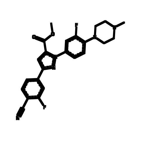 COC(=O)c1cc(-c2ccc(C#N)c(F)c2)nn1-c1ccc(N2CCN(C)CC2)c(F)c1